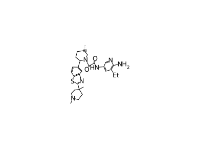 CCc1cc(NC(=O)C(=O)N2C[C@@H](C)CCC2c2ccc3sc(C4(C)CCN(C)CC4)nc3c2)cnc1N